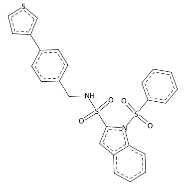 O=S(=O)(NCc1ccc(-c2ccsc2)cc1)c1cc2ccccc2n1S(=O)(=O)c1ccccc1